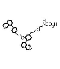 O=C(O)NCCOCCCc1ccc(-c2cccc3ccncc23)c(OCCc2ccc(-c3cccc4ccncc34)cc2)c1